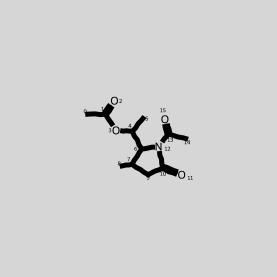 CC(=O)OC(C)C1C(C)CC(=O)N1C(C)=O